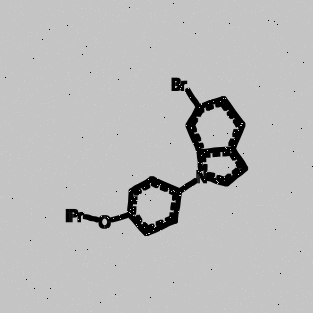 CC(C)Oc1ccc(-n2ccc3ccc(Br)cc32)cc1